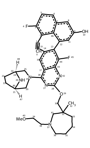 C#Cc1c(F)ccc2cc(O)cc(-c3c(F)cc4c(N5C[C@H]6CC[C@@H](C5)N6)nc(OCC5(C)CCCCN(CCOC)C5)nc4c3F)c12